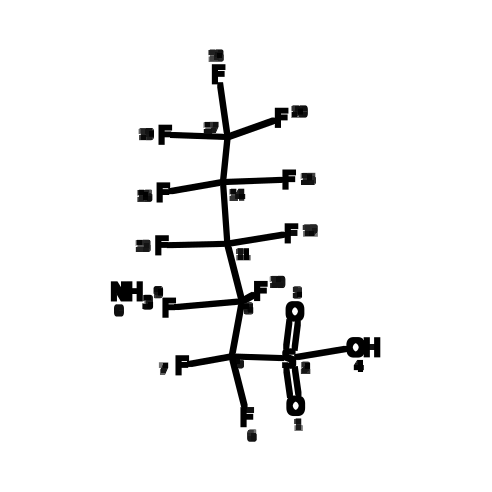 N.O=S(=O)(O)C(F)(F)C(F)(F)C(F)(F)C(F)(F)C(F)(F)F